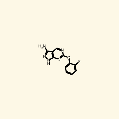 Nc1n[nH]c2nc(Oc3ccccc3F)ncc12